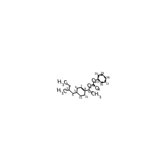 CCC(C)CC1CC=C(C(C)OC(=O)Oc2ccccc2)CC1